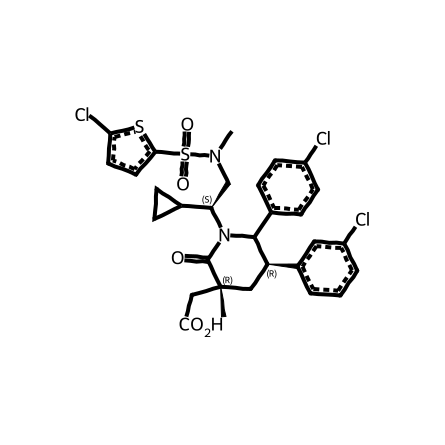 CN(C[C@H](C1CC1)N1C(=O)[C@@](C)(CC(=O)O)C[C@H](c2cccc(Cl)c2)C1c1ccc(Cl)cc1)S(=O)(=O)c1ccc(Cl)s1